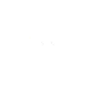 COCCN1C[C@H](C(c2ccccc2)c2ccccc2)n2cc(Cl)c(=O)c(O)c2C1=O